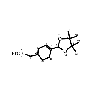 CCOC(=O)CC1CC=C(C2OC(C)(C)C(C)(C)O2)CC1